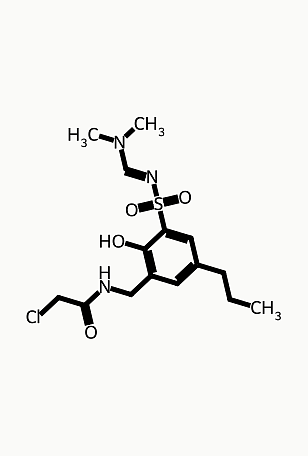 CCCc1cc(CNC(=O)CCl)c(O)c(S(=O)(=O)N=CN(C)C)c1